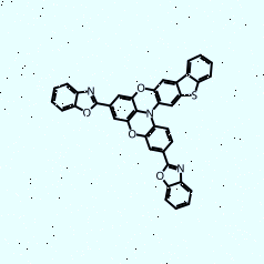 c1ccc2oc(-c3ccc4c(c3)Oc3cc(-c5nc6ccccc6o5)cc5c3N4c3cc4sc6ccccc6c4cc3O5)nc2c1